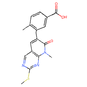 CSc1ncc2cc(-c3cc(C(=O)O)ccc3C)c(=O)n(C)c2n1